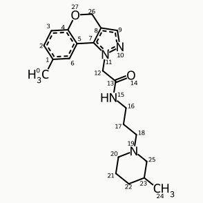 Cc1ccc2c(c1)-c1c(cnn1CC(=O)NCCCN1CCCC(C)C1)CO2